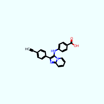 C#Cc1ccc(-c2nc3ccccn3c2Nc2ccc(C(=O)O)cc2)cc1